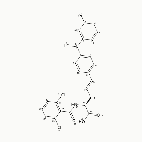 CC1CC=NC(N(C)c2ccc(/C=C/C[C@H](NC(=O)c3c(Cl)cccc3Cl)C(=O)O)cc2)=N1